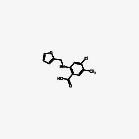 Cc1cc(C(=O)O)c(NCc2ccco2)cc1Cl